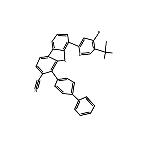 CC(C)(C)c1cnc(-c2cccc3c2sc2c(-c4ccc(-c5ccccc5)cc4)c(C#N)ccc23)cc1F